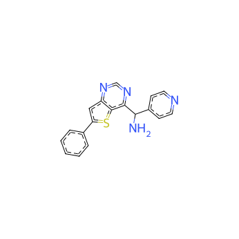 NC(c1ccncc1)c1ncnc2cc(-c3ccccc3)sc12